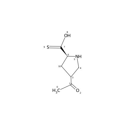 CC(=O)C1CN[C@H](C(O)=S)C1